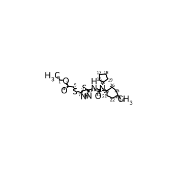 CCOC(=O)CSc1nnc(NC(=O)N(C2CCCC2)C2CCC(C)CC2)s1